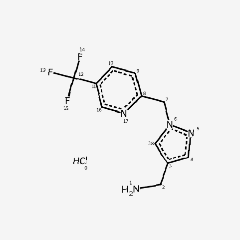 Cl.NCc1cnn(Cc2ccc(C(F)(F)F)cn2)c1